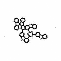 c1ccc2c(c1)-c1ccccc1C21c2ccccc2-c2ccc(-c3ccc4oc5cccc(-c6nc(-c7ccc8c(c7)sc7ccccc78)nc(-c7cccc8sc9ccccc9c78)n6)c5c4c3)cc21